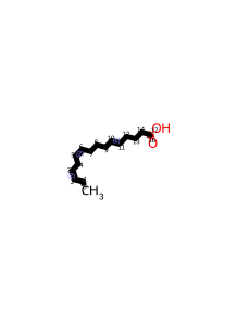 CC/C=C\C/C=C\CCC/C=C/CCCC(=O)O